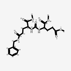 COC(=O)CCC(NC(=O)NC(CCC(=O)OCc1ccccc1)C(=O)OC)C(=O)OC